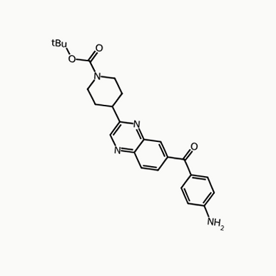 CC(C)(C)OC(=O)N1CCC(c2cnc3ccc(C(=O)c4ccc(N)cc4)cc3n2)CC1